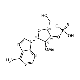 CO[C@@H]1[C@H](OP(O)(O)=S)[C@@H](CO)O[C@H]1n1cnc2c(N)ncnc21